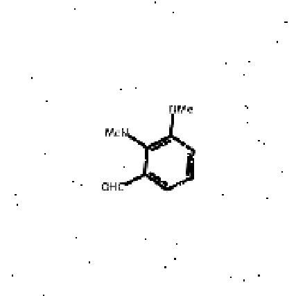 CNc1cccc(C=O)c1NC